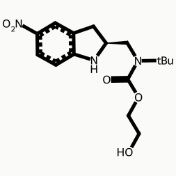 CC(C)(C)N(C[C@@H]1Cc2cc([N+](=O)[O-])ccc2N1)C(=O)OCCO